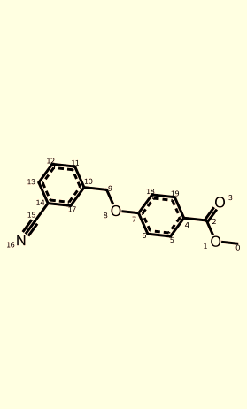 COC(=O)c1ccc(OCc2cccc(C#N)c2)cc1